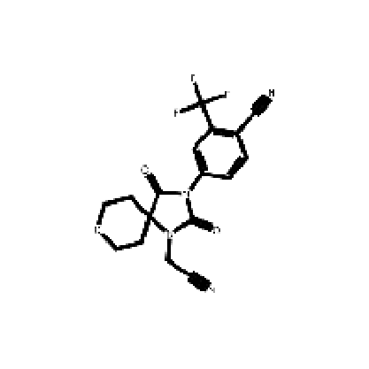 N#CCN1C(=O)N(c2ccc(C#N)c(C(F)(F)F)c2)C(=O)C12CCOCC2